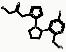 COc1ncc(F)cc1[C@H]1CCCN1c1ccnn1CC(=O)CCl